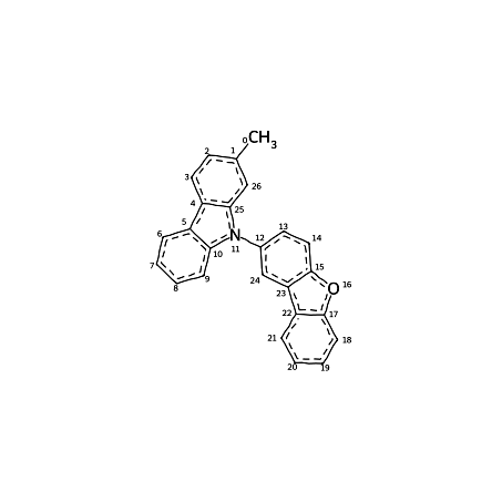 Cc1ccc2c3ccccc3n(-c3ccc4oc5ccccc5c4c3)c2c1